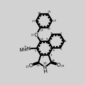 CNc1c2c(c3ccccc3c1Oc1ccccc1)C(=O)NC2=O